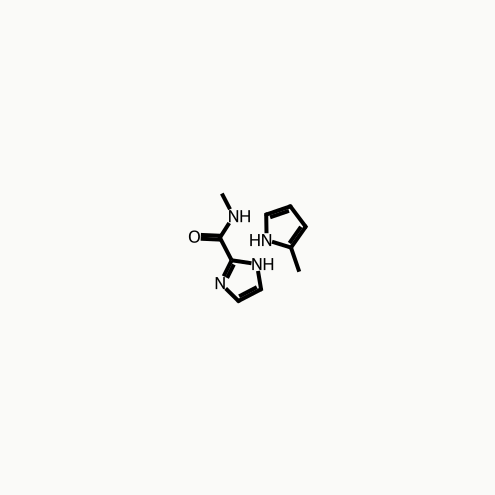 CNC(=O)c1ncc[nH]1.Cc1ccc[nH]1